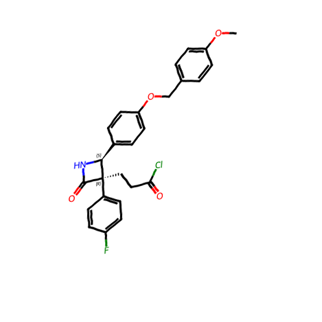 COc1ccc(COc2ccc([C@@H]3NC(=O)[C@]3(CCC(=O)Cl)c3ccc(F)cc3)cc2)cc1